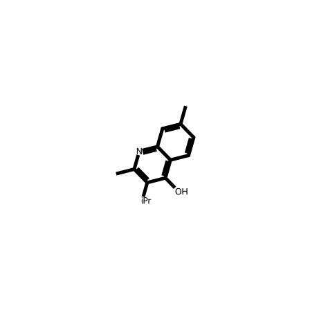 Cc1ccc2c(O)c(C(C)C)c(C)nc2c1